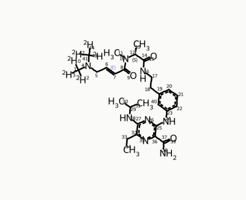 [2H]C([2H])([2H])N(C/C=C/C(=O)N(C)[C@@H](C)C(=O)NCCc1cccc(Nc2nc(NC(C)C)c(CC)nc2C(N)=O)c1)C([2H])([2H])[2H]